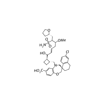 COC(C/C=C/C(O)[C@@H]1CC[C@H]1CN1C[C@@]2(CCCc3cc(Cl)ccc32)COc2ccc(C(=O)O)cc21)C(C[C@@H]1CCCO1)S(N)(=O)=O